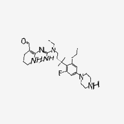 CCCc1cc(N2CCNCC2)cc(F)c1C(C)(C)CCN(CC)/C(=N/C1=C(C=O)CCCN1)NC